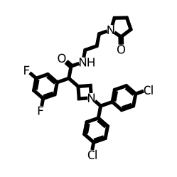 O=C(NCCCN1CCCC1=O)C(c1cc(F)cc(F)c1)C1CN(C(c2ccc(Cl)cc2)c2ccc(Cl)cc2)C1